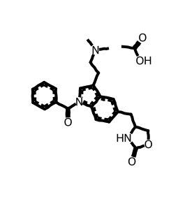 CC(=O)O.CN(C)CCc1cn(C(=O)c2ccccc2)c2ccc(CC3COC(=O)N3)cc12